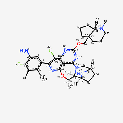 Cc1c(F)c(N)cc(-c2nc3c4c(nc(OC[C@@]56CCC[C@H]5N(C)CCC6)nc4c2F)N2C[C@H]4CC[C@H](N4)[C@H]2[C@H](C)O3)c1C(F)(F)F